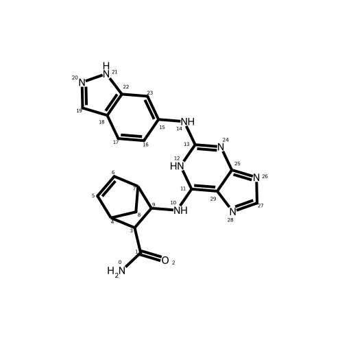 NC(=O)C1C2C=CC(C2)C1Nc1[nH]c(Nc2ccc3cn[nH]c3c2)nc2ncnc1-2